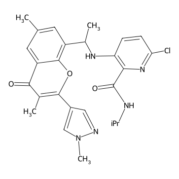 Cc1cc(C(C)Nc2ccc(Cl)nc2C(=O)NC(C)C)c2oc(-c3cnn(C)c3)c(C)c(=O)c2c1